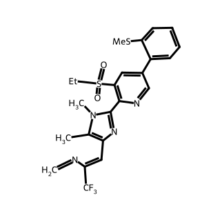 C=N/C(=C\c1nc(-c2ncc(-c3ccccc3SC)cc2S(=O)(=O)CC)n(C)c1C)C(F)(F)F